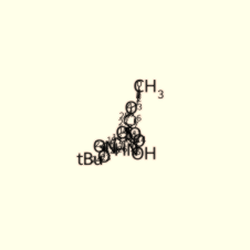 CC#CCOc1ccc(S(=O)(=O)C(C(=O)NO)C2CCN(C(=O)OC(C)(C)C)CC2)cc1